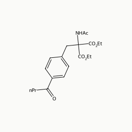 CCCC(=O)c1ccc(CC(NC(C)=O)(C(=O)OCC)C(=O)OCC)cc1